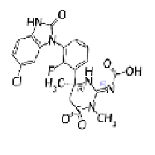 CN1/C(=N/C(=O)O)N[C@](C)(c2cccc(-n3c(=O)[nH]c4ccc(Cl)cc43)c2F)CS1(=O)=O